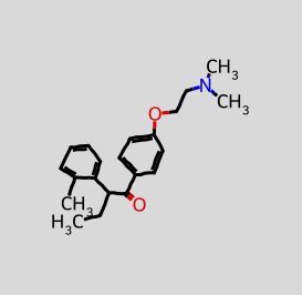 CCC(C(=O)c1ccc(OCCN(C)C)cc1)c1ccccc1C